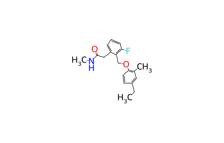 CCc1ccc(OCc2c(F)cccc2CC(=O)NC)c(C)c1